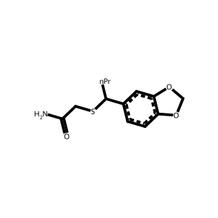 CCCC(SCC(N)=O)c1ccc2c(c1)OCO2